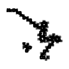 COCCOCCOCCOCCOCCN1C(=C=CC2CCCC(/C=C/C3=[N+](CCOCCOCCC(=O)O)c4ccccc4C3(C)C)=C2Cl)C(C)(C)c2ccccc21.O=C([O-])C(F)(F)F